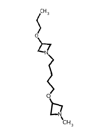 CCCOC1CN(CCCCCOC2CN(C)C2)C1